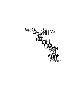 C=CC(COC)CN(Cc1ncc(C2C=C3COc4cc(-c5cnc(CN(CCC)C(=O)[C@H](C=C)NC(=O)OC)[nH]5)cc5c4C3=C(C2)OC5)[nH]1)C(=O)[C@H](C)NC(=O)OC